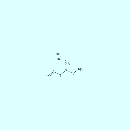 C=CCC(N)CN.Cl.Cl